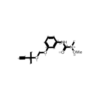 C#CC(C)(C)OCOc1cccc(NC(=O)N(C)OC)c1